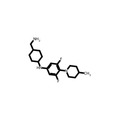 CC1CCN(c2c(F)cc(NC3CCC(CN)CC3)cc2F)CC1